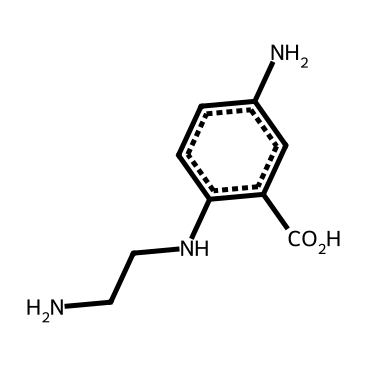 NCCNc1ccc(N)cc1C(=O)O